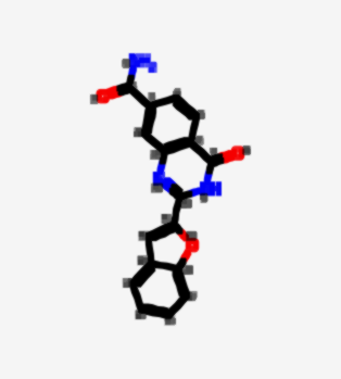 NC(=O)c1ccc2c(=O)[nH]c(-c3cc4ccccc4o3)nc2c1